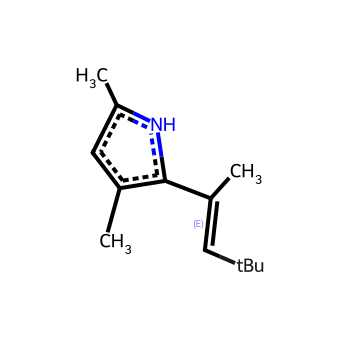 C/C(=C\C(C)(C)C)c1[nH]c(C)cc1C